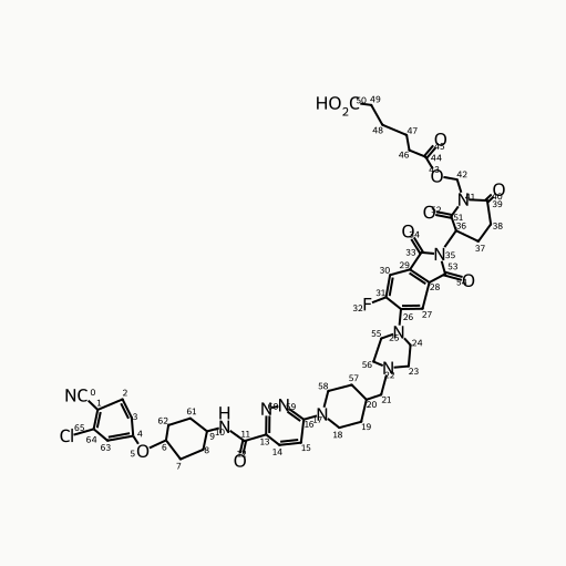 N#Cc1ccc(OC2CCC(NC(=O)c3ccc(N4CCC(CN5CCN(c6cc7c(cc6F)C(=O)N(C6CCC(=O)N(COC(=O)CCCCC(=O)O)C6=O)C7=O)CC5)CC4)nn3)CC2)cc1Cl